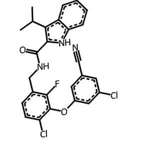 CC(C)c1c(C(=O)NCc2ccc(Cl)c(Oc3cc(Cl)cc(C#N)c3)c2F)[nH]c2ccccc12